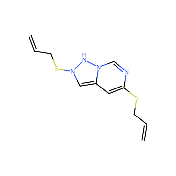 C=CCSC1=CC2=CN(SCC=C)NN2C=N1